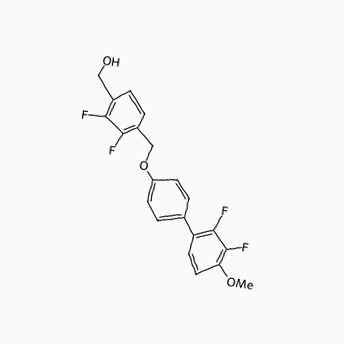 COc1ccc(-c2ccc(OCc3ccc(CO)c(F)c3F)cc2)c(F)c1F